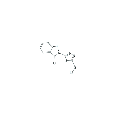 CCSc1nnc(-n2sc3ccccc3c2=O)s1